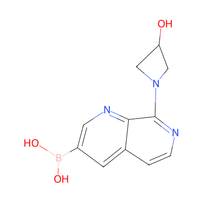 OB(O)c1cnc2c(N3CC(O)C3)nccc2c1